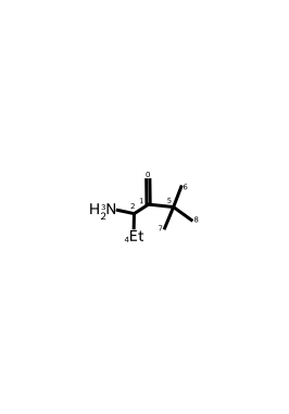 C=C(C(N)CC)C(C)(C)C